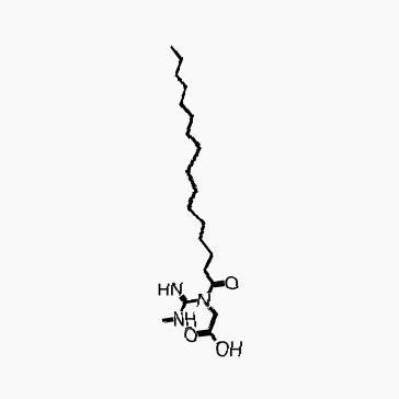 CCCCCCCCCCCCCCCC(=O)N(CC(=O)O)C(=N)NC